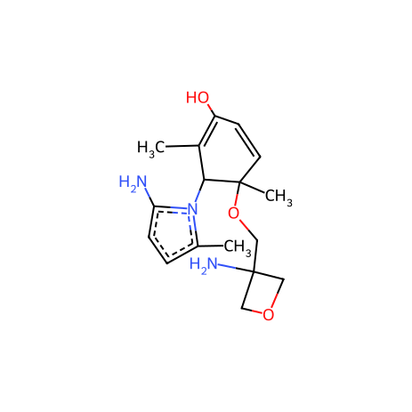 CC1=C(O)C=CC(C)(OCC2(N)COC2)C1n1c(C)ccc1N